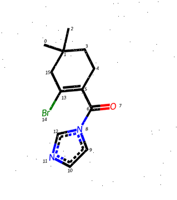 CC1(C)CCC(C(=O)n2ccnc2)=C(Br)C1